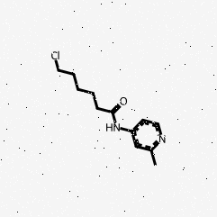 Cc1cc(NC(=O)CCCCCCl)ccn1